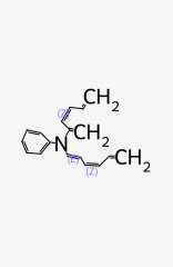 C=C/C=C\C=C\N(C(=C)/C=C\C=C)c1ccccc1